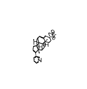 C[C@]12CC[C@@H](OS(C)(=O)=O)CC1=CC[C@@H]1[C@@H]2CC[C@]2(C)C(c3cccnc3)=CC[C@@H]12